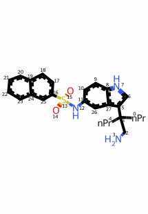 CCCC(CN)(CCC)c1c[nH]c2ccc(NS(=O)(=O)c3ccc4ccccc4c3)cc12